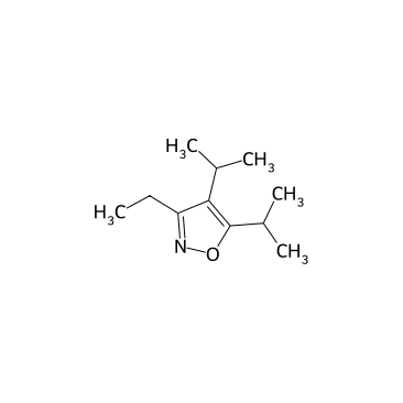 CCc1noc(C(C)C)c1C(C)C